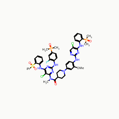 COc1cc(N2CCC(C(=O)N(C)c3nc(Nc4ccc(P(C)(C)=O)cc4F)nc(Nc4ccccc4S(=O)(=O)C(C)C)c3Cl)CC2)ccc1Nc1ncc(Cl)c(Nc2ccccc2P(C)(C)=O)n1